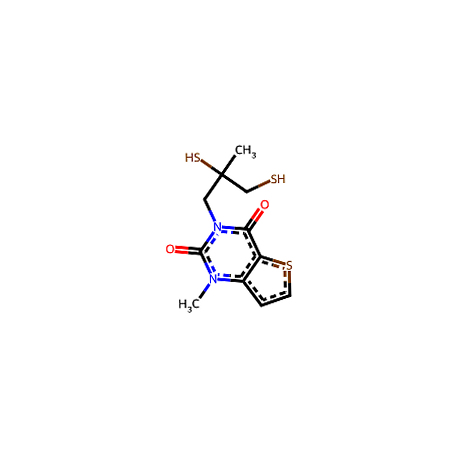 Cn1c(=O)n(CC(C)(S)CS)c(=O)c2sccc21